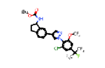 CC(C)(C)OC(=O)NC1CCc2ccc(-c3cnn(-c4c(Cl)cc(C(F)(C(F)(F)F)C(F)(F)F)cc4OC(F)(F)F)c3)cc21